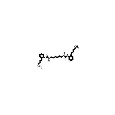 CCCCCc1ccccc1SC(=S)NCCCCCCNC(=S)Sc1ccccc1CCCCC